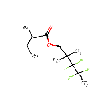 CCC(C)CC(C(=O)OCC(C(F)(F)F)(C(F)(F)F)C(F)(F)C(F)(F)C(F)(F)F)C(C)CC